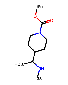 CC(C)(C)NC(C(=O)O)C1CCN(C(=O)OC(C)(C)C)CC1